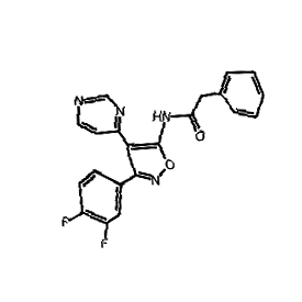 O=C(Cc1ccccc1)Nc1onc(-c2ccc(F)c(F)c2)c1-c1ccncn1